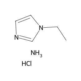 CCn1ccnc1.Cl.N